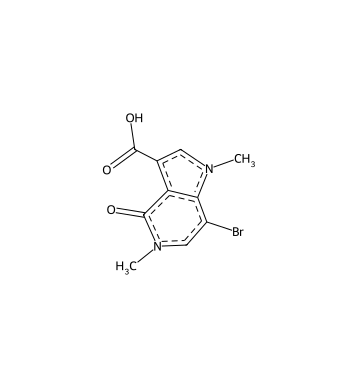 Cn1cc(Br)c2c(c(C(=O)O)cn2C)c1=O